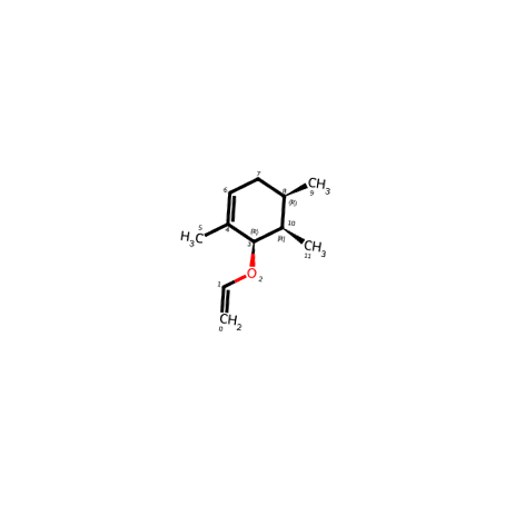 C=CO[C@H]1C(C)=CC[C@@H](C)[C@H]1C